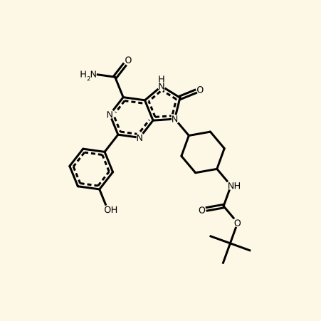 CC(C)(C)OC(=O)NC1CCC(n2c(=O)[nH]c3c(C(N)=O)nc(-c4cccc(O)c4)nc32)CC1